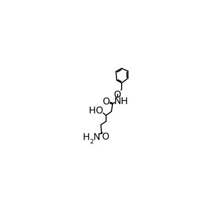 NC(=O)CCC(O)CC(=O)NOCc1ccccc1